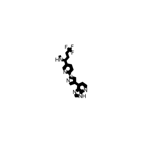 CNC(CCC(F)(F)F)c1ccc(-n2cc(-c3ccnc4[nH]cnc34)cn2)nc1